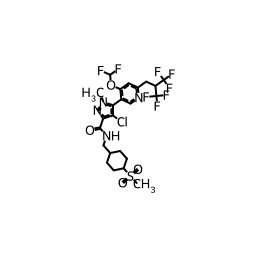 Cn1nc(C(=O)NCC2CCC(S(C)(=O)=O)CC2)c(Cl)c1-c1cnc(CC(C(F)(F)F)C(F)(F)F)cc1OC(F)F